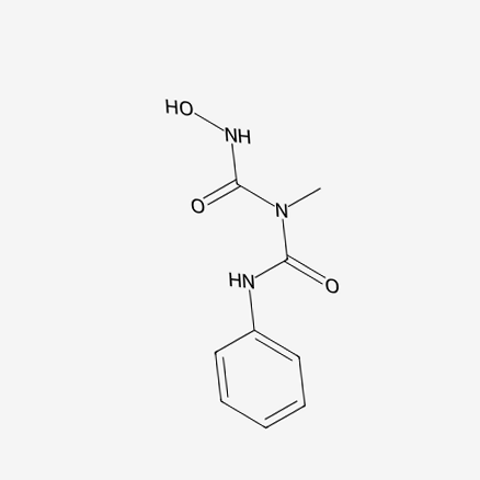 CN(C(=O)NO)C(=O)Nc1ccccc1